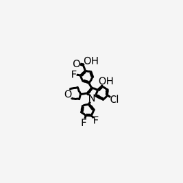 O=C(O)c1ccc(-c2c(C3CCOCC3)n(-c3ccc(F)c(F)c3)c3cc(Cl)cc(O)c23)cc1F